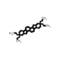 C=CCC1(CC=C)C=CC2=c3[c]cc4c5c(ccc4c3=CC2=C1)=C1[C]=CC(CC=C)(CC=C)C=C1C=5